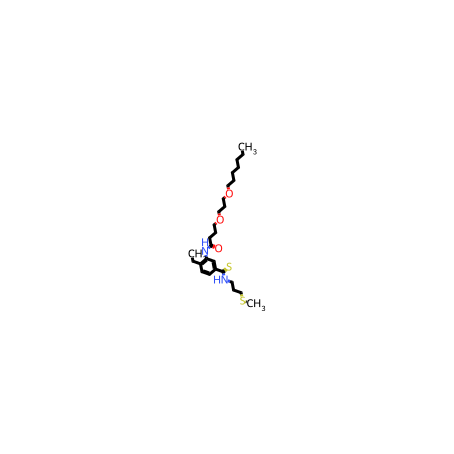 CCCCCCCOCCCOCCCC(=O)Nc1cc(C(=S)NCCCSC)ccc1CC